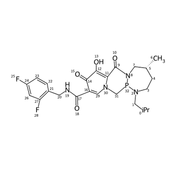 CC(C)CN1CC[C@@H](C)CN2C(=O)c3c(O)c(=O)c(C(=O)NCc4ccc(F)cc4F)cn3CP12